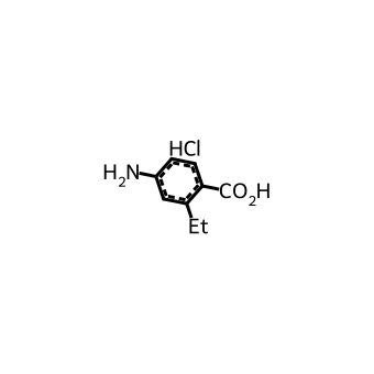 CCc1cc(N)ccc1C(=O)O.Cl